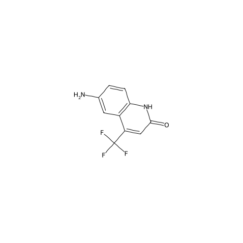 Nc1ccc2[nH]c(=O)cc(C(F)(F)F)c2c1